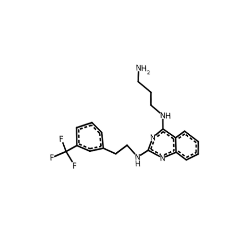 NCCCNc1nc(NCCc2cccc(C(F)(F)F)c2)nc2ccccc12